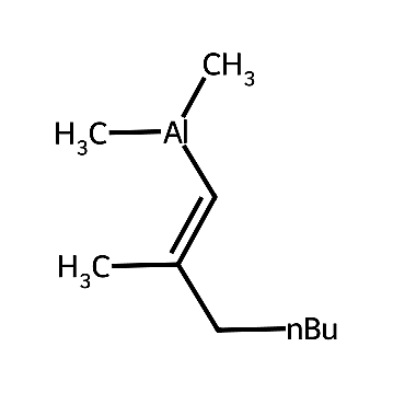 CCCCCC(C)=[CH][Al]([CH3])[CH3]